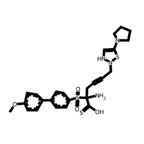 COc1ccc(-c2ccc(S(=O)(=O)C(N)(CC#CCN3NC=C(N4CCCC4)S3)C(O)=S)cc2)cc1